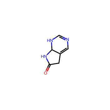 O=C1CC2=CN=CNC2N1